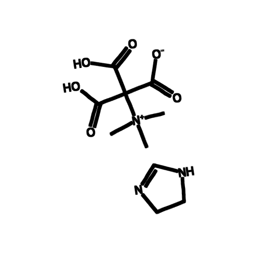 C1=NCCN1.C[N+](C)(C)C(C(=O)[O-])(C(=O)O)C(=O)O